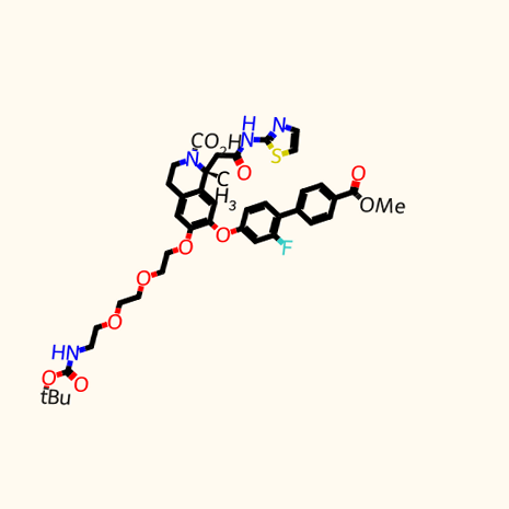 COC(=O)c1ccc(-c2ccc(Oc3cc4c(cc3OCCOCCOCCNC(=O)OC(C)(C)C)CCN(C(=O)O)[C@]4(C)CC(=O)Nc3nccs3)cc2F)cc1